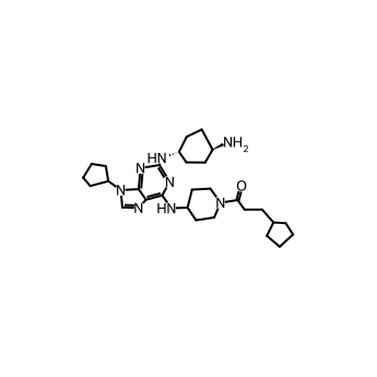 N[C@H]1CC[C@H](Nc2nc(NC3CCN(C(=O)CCC4CCCC4)CC3)c3ncn(C4CCCC4)c3n2)CC1